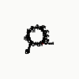 CCCCC[C@@H](C)[C@@H](O)[C@@H]1NC(=O)[C@H](C(C)C)N(C)C(=O)[C@H](CC(C)C)N(C)C(=O)[C@H](CC(C)C)N(C)C(=O)[C@@H](C)NC(=O)[C@H](C)NC(=O)[C@H](CC(C)C)N(C)C(=O)[C@H](C(C)C)NC(=O)[C@H]([C@@H](C)OCCCCN2CCOCC2)N(C)C(=O)[C@@H](C)N(C)C(=O)[C@H](CC)NC1=O